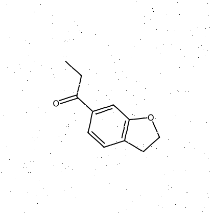 CCC(=O)c1ccc2c(c1)OCC2